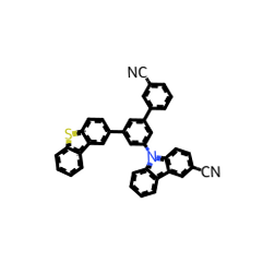 N#Cc1cccc(-c2cc(-c3ccc4sc5ccccc5c4c3)cc(-n3c4ccccc4c4cc(C#N)ccc43)c2)c1